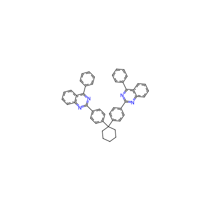 c1ccc(-c2nc(-c3ccc(C4(c5ccc(-c6nc(-c7ccccc7)c7ccccc7n6)cc5)CCCCC4)cc3)nc3ccccc23)cc1